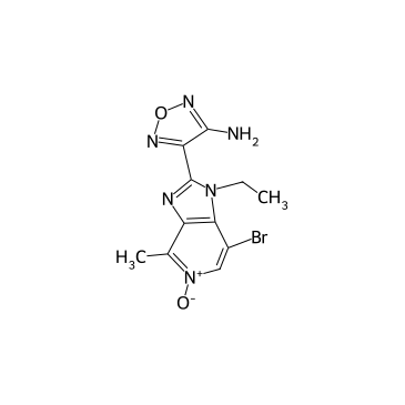 CCn1c(-c2nonc2N)nc2c(C)[n+]([O-])cc(Br)c21